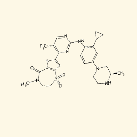 C[C@@H]1CN(c2ccc(Nc3ncc(C(F)(F)F)c(-c4cc5c(s4)C(=O)N(C)CCS5(=O)=O)n3)c(C3CC3)c2)CCN1